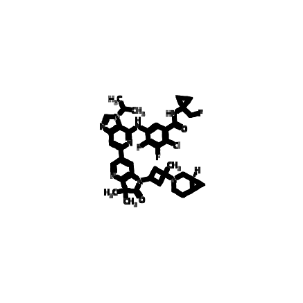 CC(C)n1cnc2cc(-c3cnc4c(c3)N(C3CC(C)(N5CCC6C[C@@H]6C5)C3)C(=O)C4(C)C)nc(Nc3cc(C(=O)NC4(CF)CC4)c(Cl)c(F)c3F)c21